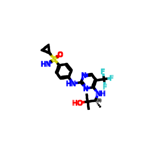 C[C@@H](Nc1nc(Nc2ccc(S(=N)(=O)C3CC3)cc2)ncc1C(F)(F)F)C(C)(C)O